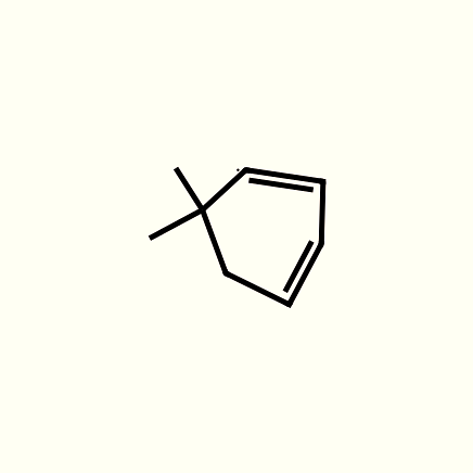 CC1(C)[C]=CC=CC1